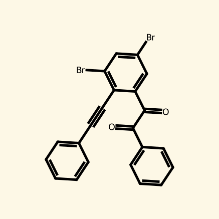 O=C(C(=O)c1cc(Br)cc(Br)c1C#Cc1ccccc1)c1ccccc1